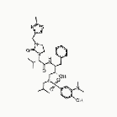 Cc1nc(CN2CCN([C@H](C(=O)N[C@@H](Cc3ccccc3)[C@H](O)CN(CC(C)C)S(=O)(=O)c3ccc(O)c(N(C)C)c3)C(C)C)C2=O)cs1